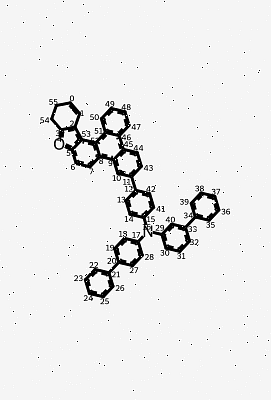 C1=Cc2c(oc3ccc4c5cc(-c6ccc(N(c7ccc(-c8ccccc8)cc7)c7cccc(-c8ccccc8)c7)cc6)ccc5c5ccccc5c4c23)CC1